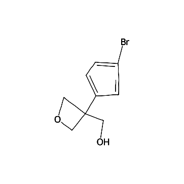 OCC1(c2ccc(Br)cc2)COC1